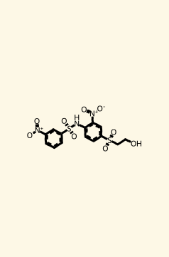 O=[N+]([O-])c1cccc(S(=O)(=O)Nc2ccc(S(=O)(=O)CCO)cc2[N+](=O)[O-])c1